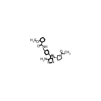 C=CC(=O)N1CCC[C@@H](n2nc(-c3ccc(CNC(=O)c4ccccc4OC)cc3)c3c(N)ncnc32)C1